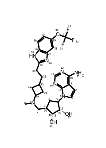 CN(C[C@H]1CC(n2ccc3c(N)ncnc32)[C@H](O)[C@@H]1O)C1CC(CCc2nc3cc(OC(F)(F)F)ccc3[nH]2)C1